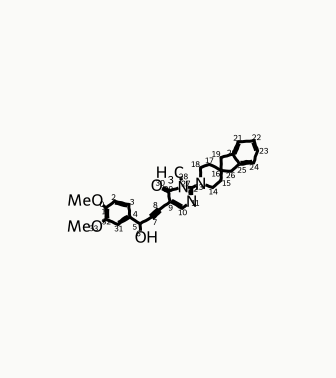 COc1ccc(C(O)C#Cc2cnc(N3CCC4(CC3)Cc3ccccc3C4)n(C)c2=O)cc1OC